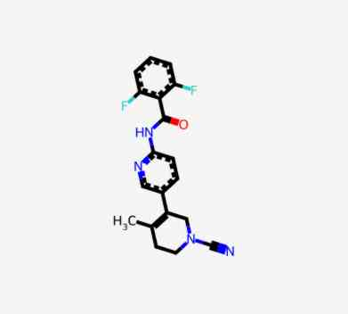 CC1=C(c2ccc(NC(=O)c3c(F)cccc3F)nc2)CN(C#N)CC1